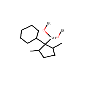 CCO[SiH](OCC)C1(C2CCCCC2)C(C)CCC1C